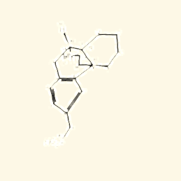 O=C(O)Cc1ccc2c(c1)[C@@]13CCCC[C@@H]1[C@@H](C2)NCC3